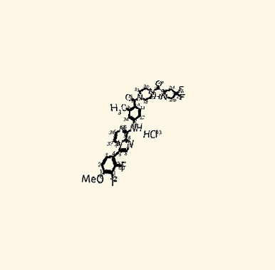 COc1ccc(-c2cnc3c(Nc4ccc(C(=O)N5CCN(C(=O)[C@@H]6CC(F)(F)CN6)CC5)c(C)c4)nccn23)c(F)c1F.Cl